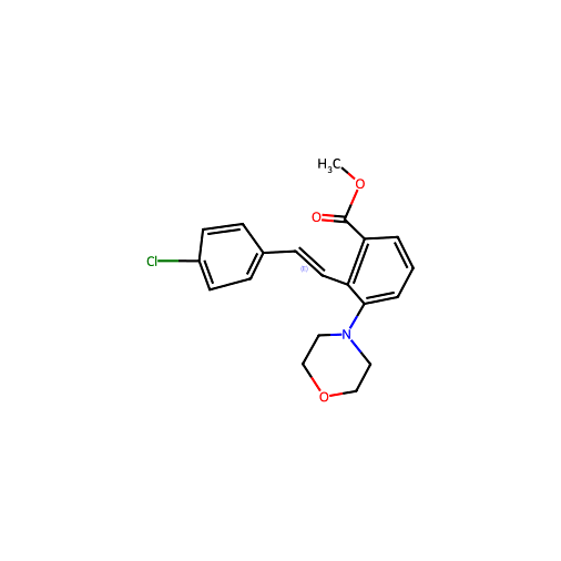 COC(=O)c1cccc(N2CCOCC2)c1/C=C/c1ccc(Cl)cc1